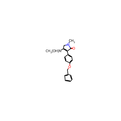 CN(O)C1=C(c2ccc(OCc3ccccc3)cc2)C(=O)N(C)C1